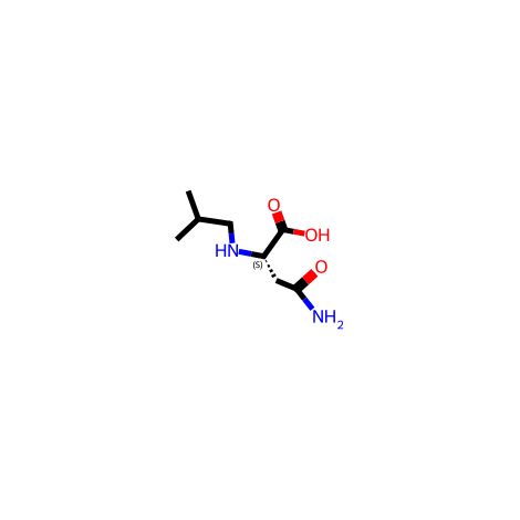 CC(C)CN[C@@H](CC(N)=O)C(=O)O